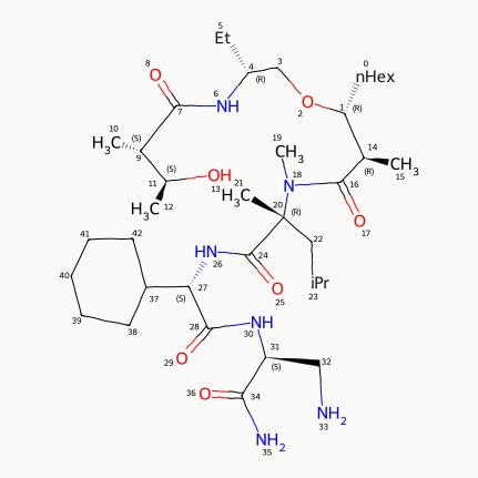 CCCCCC[C@@H](OC[C@@H](CC)NC(=O)[C@@H](C)[C@H](C)O)[C@@H](C)C(=O)N(C)[C@](C)(CC(C)C)C(=O)N[C@H](C(=O)N[C@@H](CN)C(N)=O)C1CCCCC1